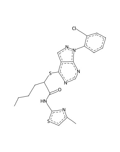 CCCCC(Sc1ncnc2c1cnn2-c1ccccc1Cl)C(=O)Nc1nc(C)cs1